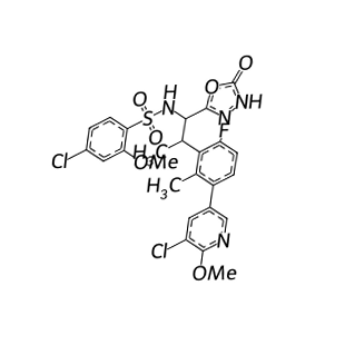 COc1cc(Cl)ccc1S(=O)(=O)NC(c1n[nH]c(=O)o1)C(C)c1c(F)ccc(-c2cnc(OC)c(Cl)c2)c1C